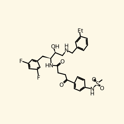 CCc1cccc(CNC[C@H](O)[C@H](Cc2cc(F)cc(F)c2)NC(=O)CCC(=O)c2ccc(NS(C)(=O)=O)cc2)c1